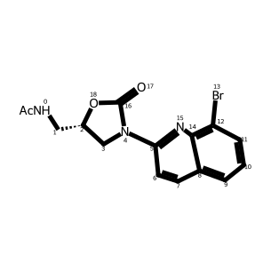 CC(=O)NC[C@H]1CN(c2ccc3cccc(Br)c3n2)C(=O)O1